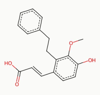 COc1c(O)ccc(C=CC(=O)O)c1CCc1ccccc1